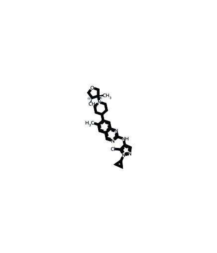 Cc1cc2cnc(Nc3cnn(C4CC4)c3Cl)nc2cc1C1CCN([C@@]2(C)COC[C@H]2C)CC1